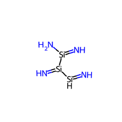 N=[SiH][Si](=N)[Si](=N)N